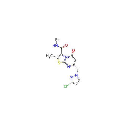 CCNC(=O)c1c(C)sc2nc(Cn3ccc(Cl)n3)cc(=O)n12